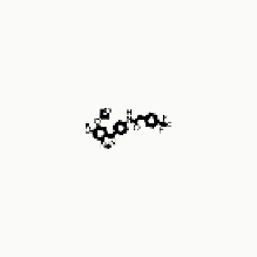 COc1cc2ncnc(-c3ccc(NC(=O)Cc4ccc(C(F)(F)F)cc4)cc3)c2cc1OC1COC1